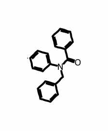 O=C(c1ccccc1)N(Cc1ccccc1)c1cc[c]cc1